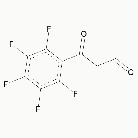 O=CCC(=O)c1c(F)c(F)c(F)c(F)c1F